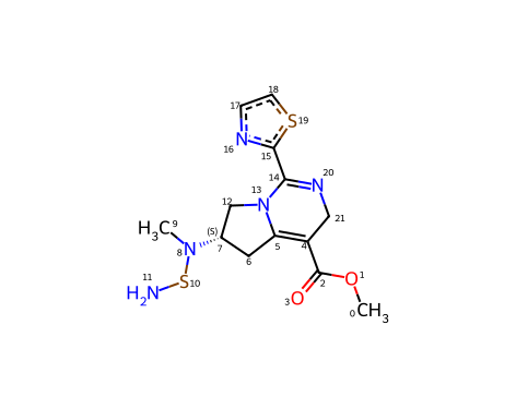 COC(=O)C1=C2C[C@H](N(C)SN)CN2C(c2nccs2)=NC1